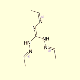 C/C=N\N=C(N/N=C/C)N/N=C/C